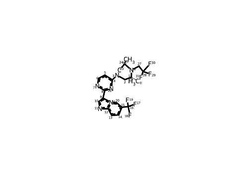 C[C@@H]1CN(c2ccnc(-c3cnc4ccc(C(F)(F)F)cn34)n2)C[C@H](C)N1CC(F)(F)F